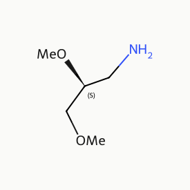 COC[C@H](CN)OC